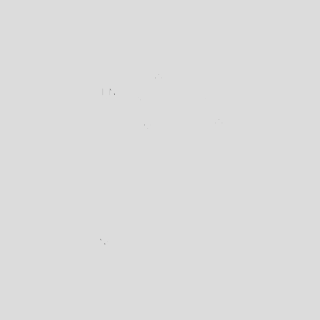 N#CCc1ccc(C2(OC(N)=O)CCOC2)cc1